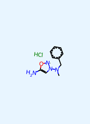 CN(Cc1ccccc1)N1C=C(N)O[N]1.Cl